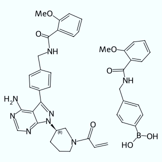 C=CC(=O)N1CCC[C@@H](n2nc(-c3ccc(CNC(=O)c4ccccc4OC)cc3)c3c(N)ncnc32)C1.COc1ccccc1C(=O)NCc1ccc(B(O)O)cc1